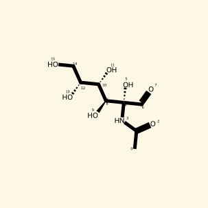 CC(=O)N[C@](O)(C=O)[C@@H](O)[C@@H](O)[C@H](O)CO